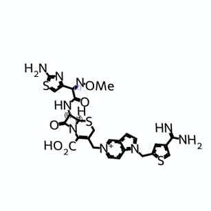 CO/N=C(\C(=O)N[C@@H]1C(=O)N2C(C(=O)O)=C(C[n+]3ccc4c(ccn4Cc4cc(C(=N)N)cs4)c3)CS[C@H]12)c1csc(N)n1